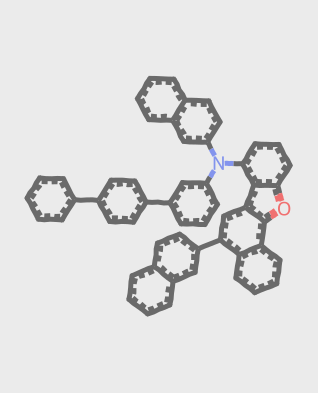 c1ccc(-c2ccc(-c3cccc(N(c4ccc5ccccc5c4)c4cccc5oc6c7ccccc7c(-c7ccc8ccccc8c7)cc6c45)c3)cc2)cc1